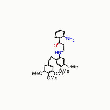 COc1cc(/C=C\c2cc(OC)c(OC)c(OC)c2)c(N/C=C\C(=O)c2ccccc2N)cc1OC